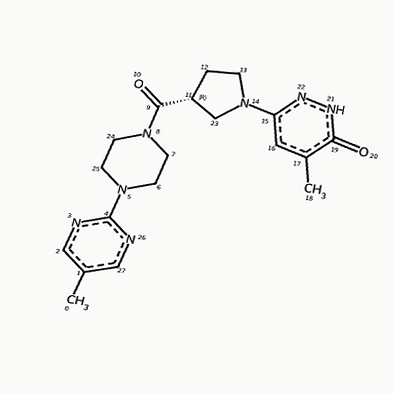 Cc1cnc(N2CCN(C(=O)[C@@H]3CCN(c4cc(C)c(=O)[nH]n4)C3)CC2)nc1